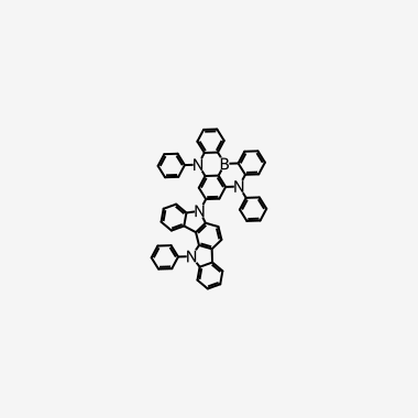 c1ccc(N2c3ccccc3B3c4ccccc4N(c4ccccc4)c4cc(-n5c6ccccc6c6c5ccc5c7ccccc7n(-c7ccccc7)c56)cc2c43)cc1